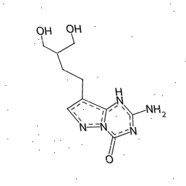 Nc1nc(=O)n2ncc(CCC(CO)CO)c2[nH]1